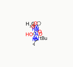 CC(C)(C)[C@@H](C(=O)N1C[C@H](O)C[C@H]1C(=O)NCC1(NS(C)(=O)=O)CCCCC1)n1cc(C2CC2)nn1